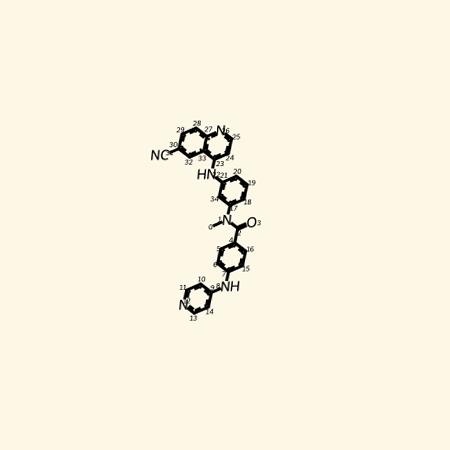 CN(C(=O)c1ccc(Nc2ccncc2)cc1)c1cccc(Nc2ccnc3ccc(C#N)cc23)c1